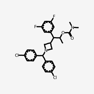 CC(OC(=O)N(C)C)C(c1cc(F)cc(F)c1)C1CN(C(c2ccc(Cl)cc2)c2ccc(Cl)cc2)C1